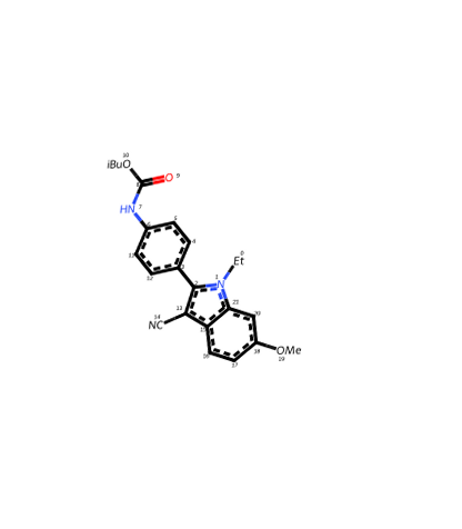 CCn1c(-c2ccc(NC(=O)OCC(C)C)cc2)c(C#N)c2ccc(OC)cc21